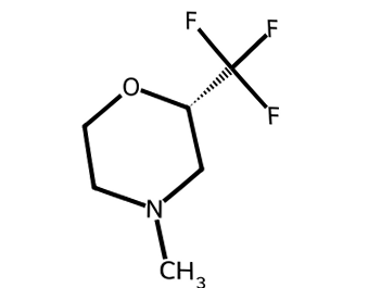 CN1CCO[C@H](C(F)(F)F)C1